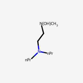 CCCN(CCC)CCN(C)O